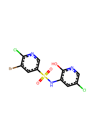 O=S(=O)(Nc1cc(Cl)cnc1O)c1cnc(Cl)c(Br)c1